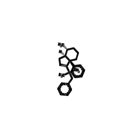 C[C@@H]1CCC[C@]2(c3ccccc3)C([Si](C)(C)Cc3ccccc3)=CC[C@@H]12